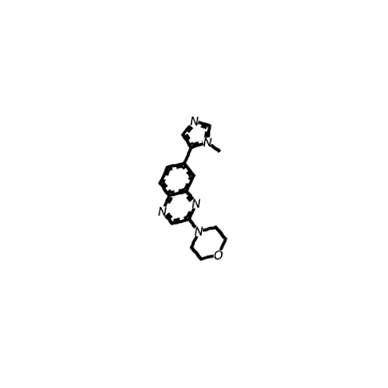 Cn1cncc1-c1ccc2ncc(N3CCOCC3)nc2c1